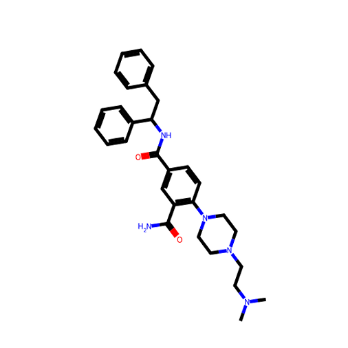 CN(C)CCN1CCN(c2ccc(C(=O)NC(Cc3ccccc3)c3ccccc3)cc2C(N)=O)CC1